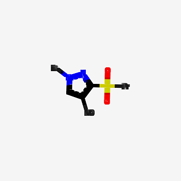 CCn1cc(N=O)c(S(=O)(=O)C(C)C)n1